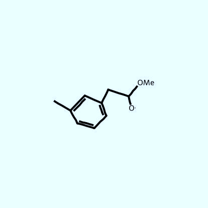 COC([O])Cc1cccc(C)c1